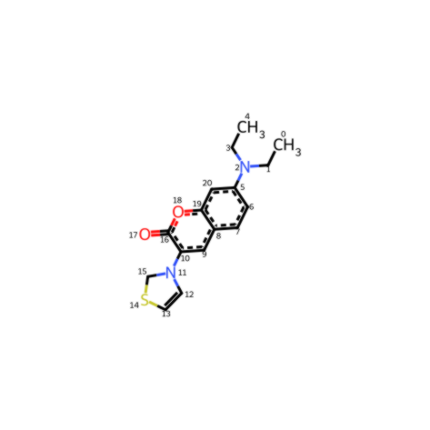 CCN(CC)c1ccc2cc(N3C=CSC3)c(=O)oc2c1